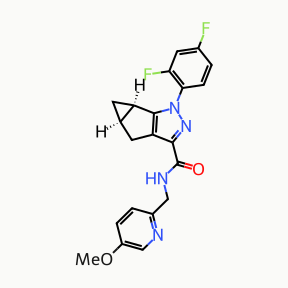 COc1ccc(CNC(=O)c2nn(-c3ccc(F)cc3F)c3c2C[C@H]2C[C@@H]32)nc1